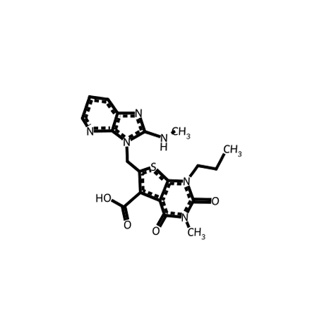 CCCn1c(=O)n(C)c(=O)c2c(C(=O)O)c(Cn3c(NC)nc4cccnc43)sc21